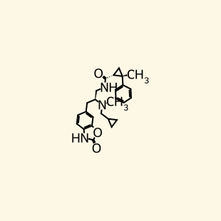 CN(CC1CC1)[C@H](CNC(=O)[C@@H]1C[C@]1(C)c1ccccc1)Cc1ccc2[nH]c(=O)oc2c1